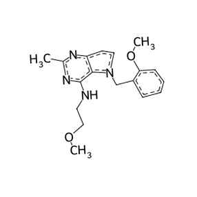 COCCNc1nc(C)nc2ccn(Cc3ccccc3OC)c12